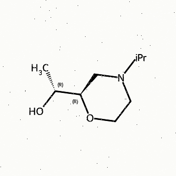 CC(C)N1CCO[C@@H]([C@@H](C)O)C1